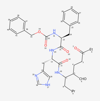 CCC(=O)CCC(C=O)C(CC(C)C)NC(=O)[C@H](Cc1c[nH]cn1)NC(=O)[C@H](Cc1ccccc1)NC(=O)OCc1ccccc1